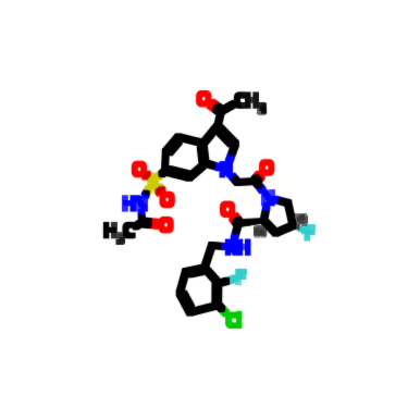 CC(=O)NS(=O)(=O)c1ccc2c(C(C)=O)cn(CC(=O)N3C[C@H](F)C[C@H]3C(=O)NCc3cccc(Cl)c3F)c2c1